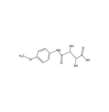 COc1ccc(NC(=O)C(O)C(O)C(=O)O)cc1